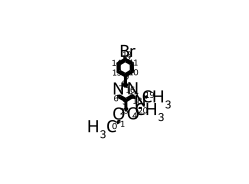 CCOC(=O)c1cnc(-c2ccc(Br)cc2)nc1N(C)C